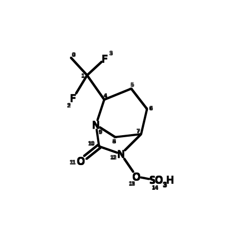 CC(F)(F)C1CCC2CN1C(=O)N2OS(=O)(=O)O